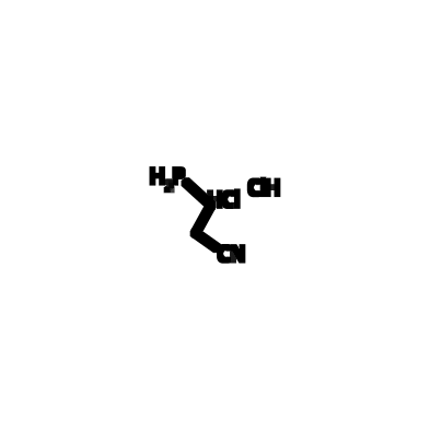 Cl.Cl.N#CCCP